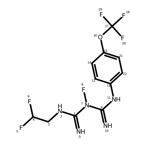 N=C(NCC(F)F)N(F)C(=N)Nc1ccc(OC(F)(F)F)cc1